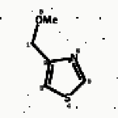 [CH2]OCc1cscn1